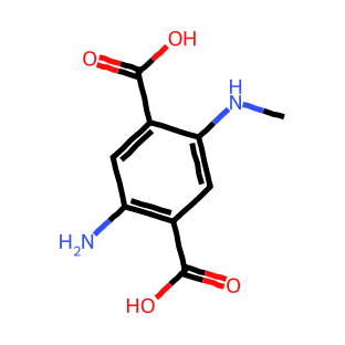 CNc1cc(C(=O)O)c(N)cc1C(=O)O